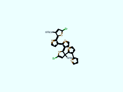 CCCCCCC1=CC(Br)SC1=c1sccc1=c1sccc1=C1SC(Br)=CC1(CCCCCC)c1sccc1-c1cccs1